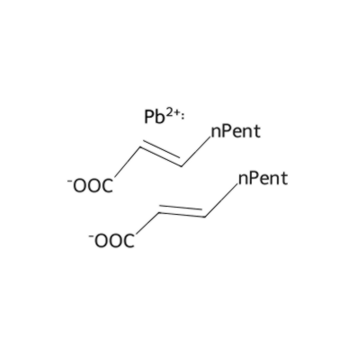 CCCCCC=CC(=O)[O-].CCCCCC=CC(=O)[O-].[Pb+2]